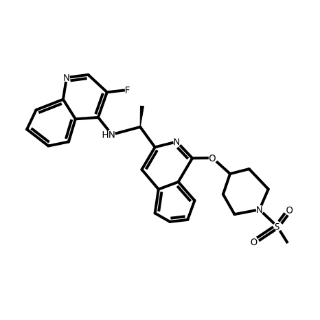 C[C@H](Nc1c(F)cnc2ccccc12)c1cc2ccccc2c(OC2CCN(S(C)(=O)=O)CC2)n1